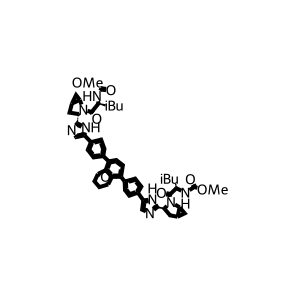 CCC(C)[C@H](NC(=O)OC)C(=O)N1C2CC2C[C@H]1c1ncc(-c2ccc(-c3ccc(-c4ccc(-c5cnc([C@@H]6CC7CC7N6C(=O)[C@@H](NC(=O)OC)C(C)CC)[nH]5)cc4)c4c3C3CCC4O3)cc2)[nH]1